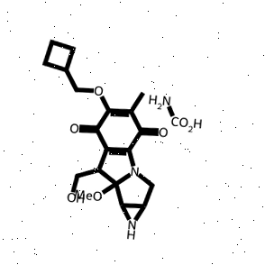 COC12C(CO)C3=C(C(=O)C(C)=C(OCC4CCC4)C3=O)N1CC1NC12.NC(=O)O